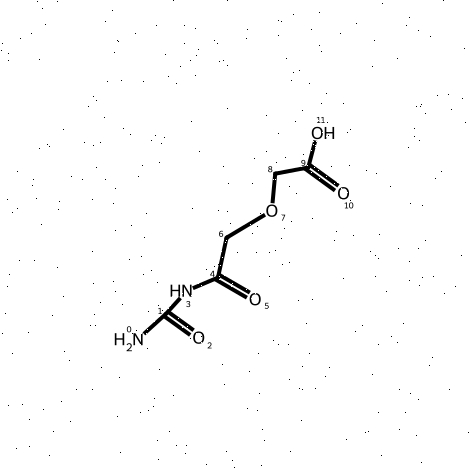 NC(=O)NC(=O)COCC(=O)O